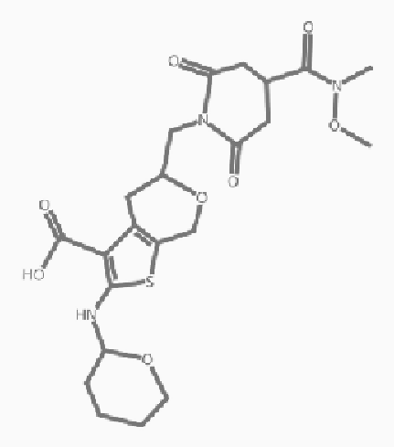 CON(C)C(=O)C1CC(=O)N(CC2Cc3c(sc(NC4CCCCO4)c3C(=O)O)CO2)C(=O)C1